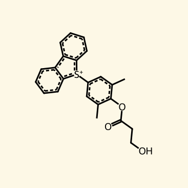 Cc1cc(-[s+]2c3ccccc3c3ccccc32)cc(C)c1OC(=O)CCO